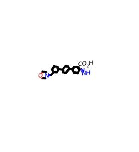 N=Nc1ccc(-c2ccc(-c3cccc(CN4CCOCC4)c3)cc2)cc1C(=O)O